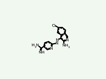 N=C(N)c1ccc(/N=N/c2c(N)ncc3ccc(Cl)cc23)nc1